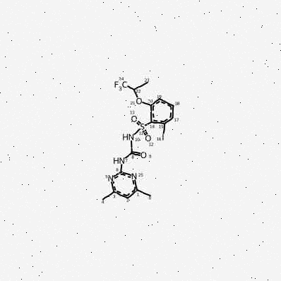 Cc1cc(C)nc(NC(=O)NS(=O)(=O)c2c(I)cccc2OC(C)C(F)(F)F)n1